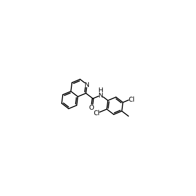 Cc1cc(Cl)c(NC(=O)c2nccc3ccccc23)cc1Cl